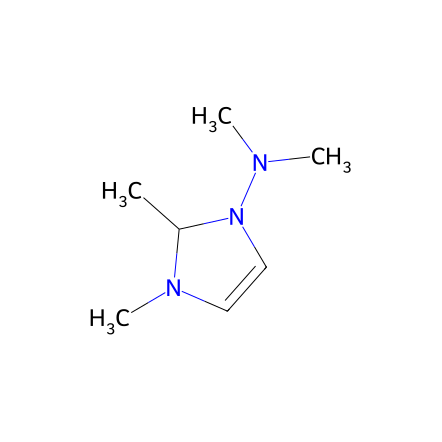 CC1N(C)C=CN1N(C)C